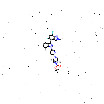 Cc1cccc2c(-c3c(F)cc(F)c4nn(C)cc34)nn(-c3ccc(N4C[C@@H]5C[C@H]4CN5C(=O)OC(C)(C)C)nc3)c12